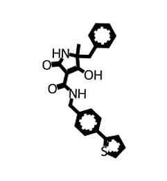 CC1(Cc2ccccc2)NC(=O)C(C(=O)NCc2ccc(-c3cccs3)cc2)=C1O